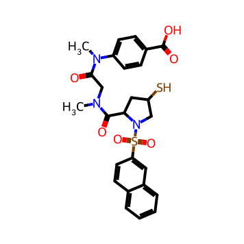 CN(CC(=O)N(C)c1ccc(C(=O)O)cc1)C(=O)C1CC(S)CN1S(=O)(=O)c1ccc2ccccc2c1